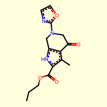 CCCOC(=O)c1[nH]c2c(c1C)C(=O)CN(c1ncco1)C2